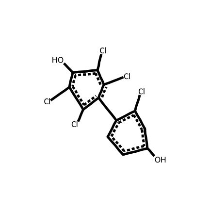 Oc1ccc(-c2c(Cl)c(Cl)c(O)c(Cl)c2Cl)c(Cl)c1